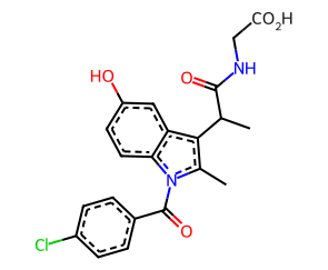 Cc1c(C(C)C(=O)NCC(=O)O)c2cc(O)ccc2n1C(=O)c1ccc(Cl)cc1